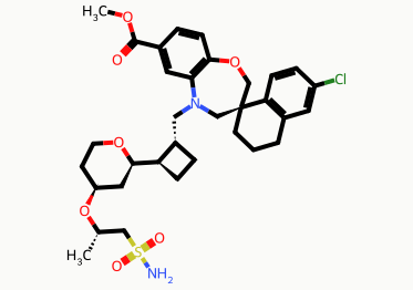 COC(=O)c1ccc2c(c1)N(C[C@@H]1CC[C@H]1[C@H]1C[C@@H](O[C@@H](C)CS(N)(=O)=O)CCO1)C[C@@]1(CCCc3cc(Cl)ccc31)CO2